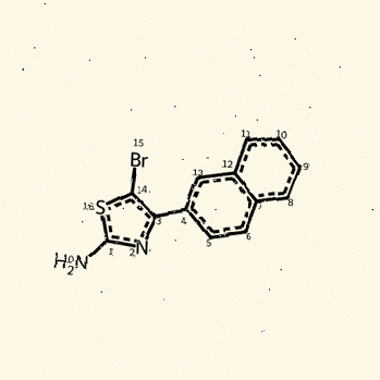 Nc1nc(-c2ccc3ccccc3c2)c(Br)s1